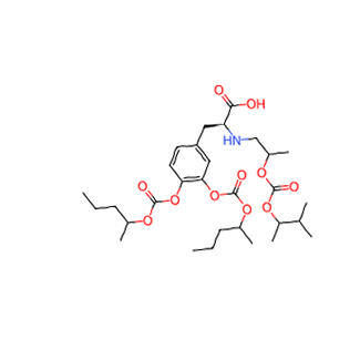 CCCC(C)OC(=O)Oc1ccc(C[C@H](NCC(C)OC(=O)OC(C)C(C)C)C(=O)O)cc1OC(=O)OC(C)CCC